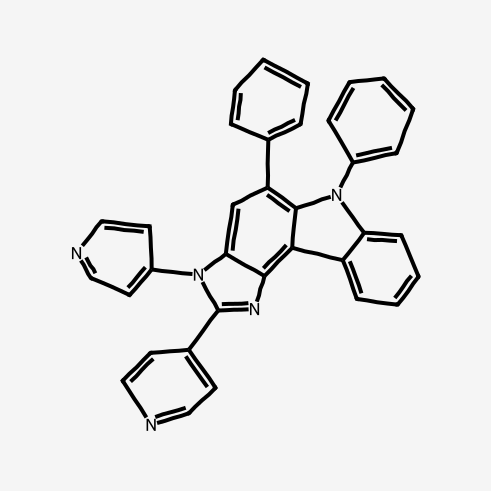 c1ccc(-c2cc3c(nc(-c4ccncc4)n3-c3ccncc3)c3c4ccccc4n(-c4ccccc4)c23)cc1